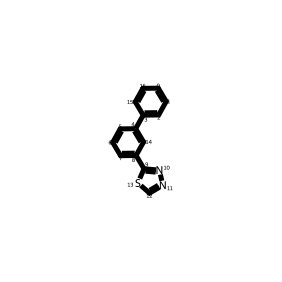 c1ccc(-c2cccc(-c3nncs3)c2)cc1